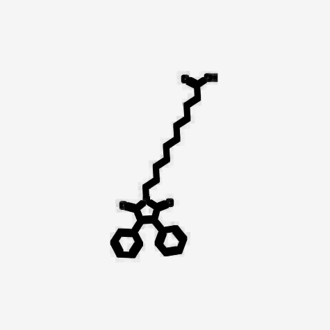 O=C(O)CCCCCCCCCCN1C(=O)C(c2ccccc2)=C(c2ccccc2)C1=O